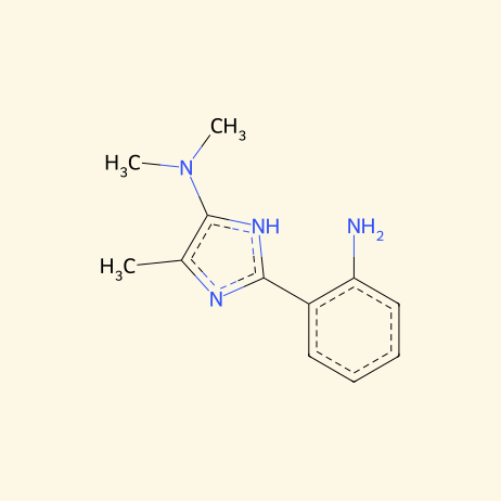 Cc1nc(-c2ccccc2N)[nH]c1N(C)C